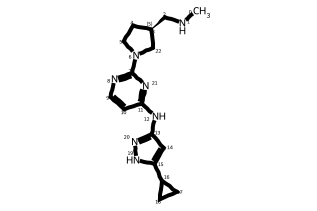 CNC[C@@H]1CCN(c2nccc(Nc3cc(C4CC4)[nH]n3)n2)C1